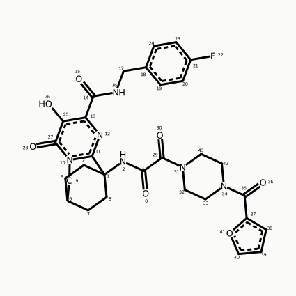 O=C(NC12CCC(CC1)Cn1c2nc(C(=O)NCc2ccc(F)cc2)c(O)c1=O)C(=O)N1CCN(C(=O)c2ccco2)CC1